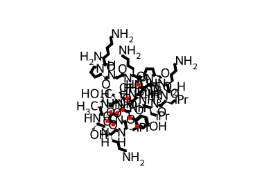 CC[C@H](C)[C@H](NC(=O)[C@H](CC(C)C)NC(=O)[C@H](CC(C)C)NC(=O)[C@H](CCCCN)NC(=O)[C@@H]1CCCN1C(=O)[C@H](C)NC(=O)[C@H](CCCCN)NC(=O)CNC(=O)[C@@H]1CCCN1C(=O)[C@@H](N)CCCCN)C(=O)N[C@@H](Cc1ccc(O)cc1)C(=O)N[C@@H](CC(=O)O)C(=O)N[C@@H](C)C(=O)N[C@@H](CO)C(=O)N[C@@H](CCCCN)C(=O)N[C@@H](CC(C)C)C(=O)N1CCC[C@H]1C(=O)N[C@@H](CO)C(=O)NCC(=O)N[C@H](C(=O)O)C(C)C